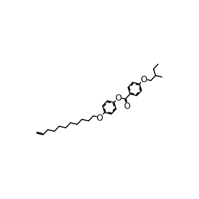 C=CCCCCCCCCCOc1ccc(OC(=O)c2ccc(OCC(C)CC)cc2)cc1